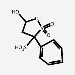 O=S(=O)(O)C1(c2ccccc2)CC(O)OS1(=O)=O